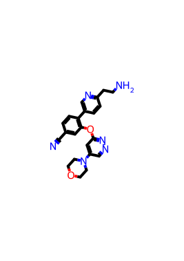 N#Cc1ccc(-c2ccc(CCN)nc2)c(Oc2cc(N3CCOCC3)cnn2)c1